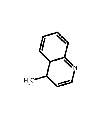 CC1C=CN=C2C=CC=CC21